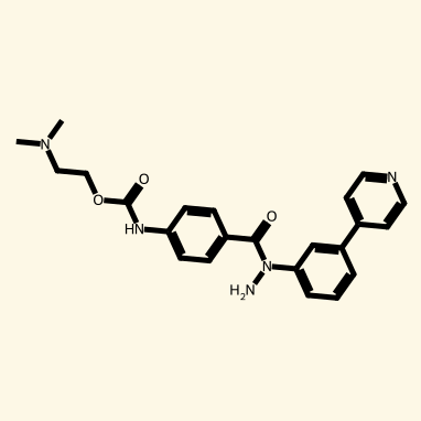 CN(C)CCOC(=O)Nc1ccc(C(=O)N(N)c2cccc(-c3ccncc3)c2)cc1